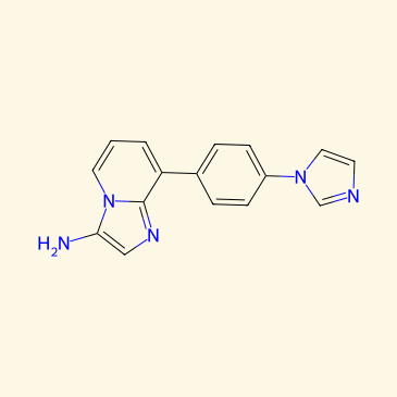 Nc1cnc2c(-c3ccc(-n4ccnc4)cc3)cccn12